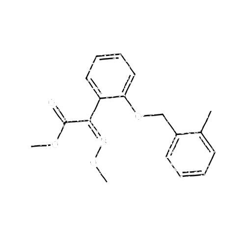 CON=C(C(=O)OC)c1ccccc1OCc1ccccc1C